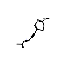 C=C(C)/C=C/C#CC1=CN=C(NC)CC1